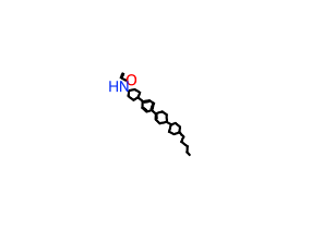 C=CC(=O)NC1CCC(c2ccc(C3=CCC(C4CCC(CCCCC)CC4)CC3)cc2)CC1